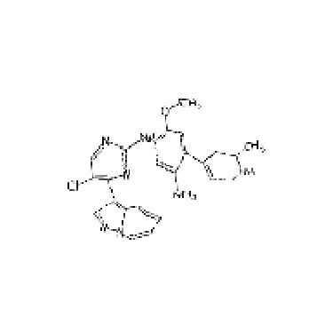 COc1cc(C2=CCNC(C)C2)c(N)cc1Nc1ncc(Cl)c(-c2cnn3ccccc23)n1